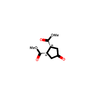 COC(=O)[C@H]1CC(=O)C[C@H]1C(=O)OC